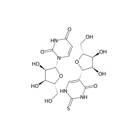 O=c1[nH]c(=S)[nH]cc1[C@@H]1O[C@H](CO)[C@@H](O)[C@H]1O.O=c1ccn([C@@H]2O[C@H](CO)[C@@H](O)[C@H]2O)c(=O)[nH]1